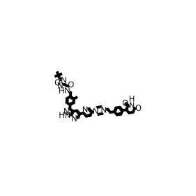 Cc1cc(-c2n[nH]c3ncc(-c4ccc(N5CCN(CCc6ccc(C7CCC(=O)NC7=O)cc6)CC5)cn4)cc23)ccc1CNC(=O)c1noc(C(C)(C)C)n1